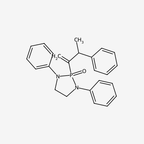 C=C(C(C)c1ccccc1)P1(=O)N(c2ccccc2)CCN1c1ccccc1